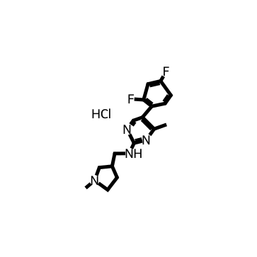 Cc1nc(NCC2CCN(C)C2)ncc1-c1ccc(F)cc1F.Cl